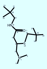 CN(C)CC(CC(=O)NCC(C)(C)C)SCC(C)(C)C